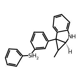 CC1[C@@H]2Nc3ccccc3C12c1cccc([SiH2]c2ccccc2)c1